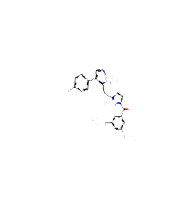 Cc1ccc(-c2cc[nH]c2Cc2ccc(C(=O)c3cc(C(C)(C)C)cc(C(C)(C)C)c3)[nH]2)cc1